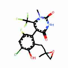 Cn1c(C(F)(F)F)c(-c2c(F)cc(Cl)c(O)c2CC2(C)CO2)c(=O)[nH]c1=O